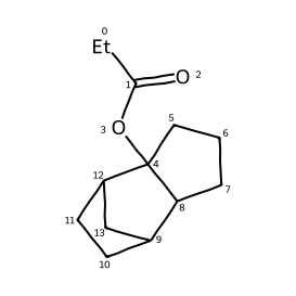 CCC(=O)OC12CCCC1C1CCC2C1